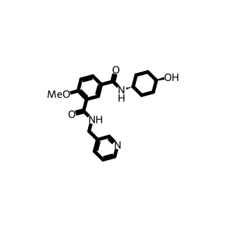 COc1ccc(C(=O)N[C@H]2CC[C@H](O)CC2)cc1C(=O)NCc1cccnc1